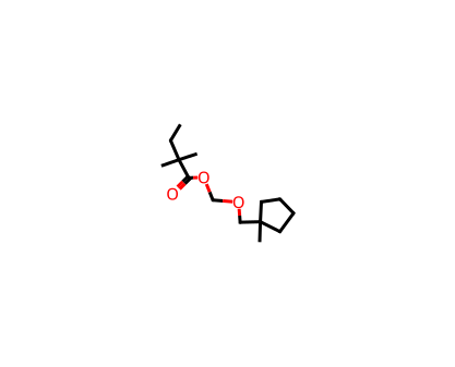 CCC(C)(C)C(=O)OCOCC1(C)CCCC1